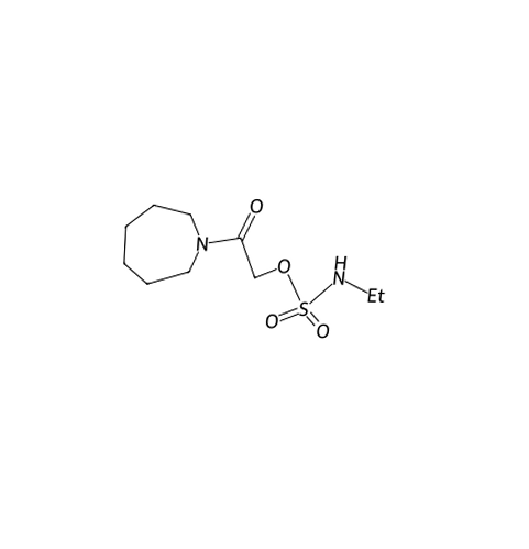 CCNS(=O)(=O)OCC(=O)N1CCCCCC1